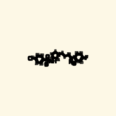 O=S(=O)(NC1CCN(CCCc2noc3cc(F)ccc23)C1)c1ccc(Cl)cc1